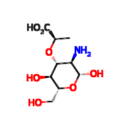 C[C@@H](O[C@@H]1[C@@H](N)[C@H](O)O[C@H](CO)[C@H]1O)C(=O)O